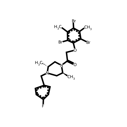 Cc1c(Br)c(C)c(Br)c(OCC(=O)N2C[C@@H](C)N(Cc3ccc(F)cc3)C[C@@H]2C)c1Br